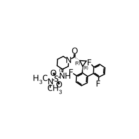 CN(C)S(=O)(=O)N[C@H]1CCCN(C(=O)[C@@H]2C[C@H]2c2c(F)cccc2-c2c(F)cccc2F)C1